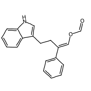 O=CO/C=C(\CCc1c[nH]c2ccccc12)c1ccccc1